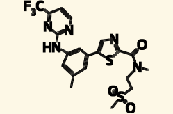 Cc1cc(Nc2nccc(C(F)(F)F)n2)cc(-c2cnc(C(=O)N(C)CCS(C)(=O)=O)s2)c1